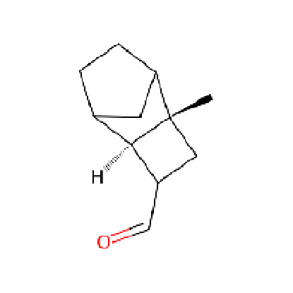 C[C@@]12CC(C=O)[C@H]1C1CCC2C1